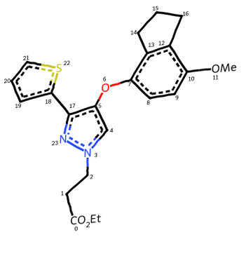 CCOC(=O)CCn1cc(Oc2ccc(OC)c3c2CCC3)c(-c2cccs2)n1